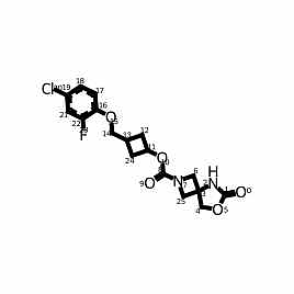 O=C1NC2(CO1)CN(C(=O)OC1CC(COc3ccc(Cl)cc3F)C1)C2